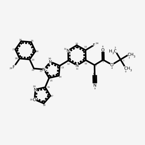 CC(C)(C)OC(=O)C(C#N)c1nc(-c2cc(-c3ccon3)n(Cc3ccccc3F)n2)ncc1F